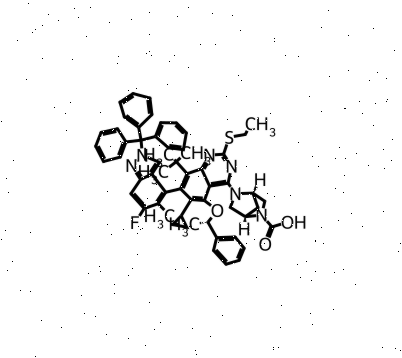 CCSc1nc(N2C[C@@H]3C[C@H]2CN3C(=O)O)c2c(O[C@@H](C)c3ccccc3)c(C3CC3)c(-c3c(C)c(F)cc4nn(C(c5ccccc5)(c5ccccc5)c5ccccc5)cc34)c(C(C)(C)C)c2n1